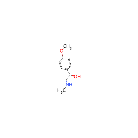 CNC[C@H](O)c1ccc(OC)cc1